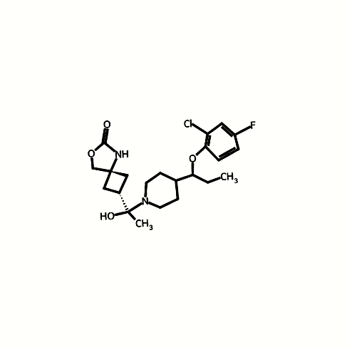 CCC(Oc1ccc(F)cc1Cl)C1CCN(C(C)(O)[C@H]2C[C@]3(COC(=O)N3)C2)CC1